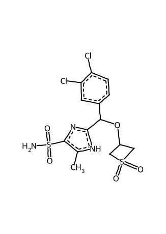 Cc1[nH]c(C(OC2CS(=O)(=O)C2)c2ccc(Cl)c(Cl)c2)nc1S(N)(=O)=O